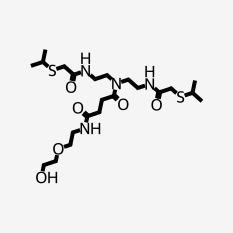 CC(C)SCC(=O)NCCN(CCNC(=O)CSC(C)C)C(=O)CCC(=O)NCCOCCO